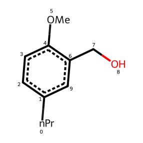 CCCc1ccc(OC)c(CO)c1